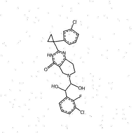 O=c1[nH]c(C2(c3cccc(Cl)c3)CC2)nc2c1CN(C(O)C(O)c1cccc(Cl)c1F)CC2